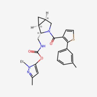 CCn1nc(C)cc1OC(=O)NC[C@@H]1[C@H]2C[C@H]2CN1C(=O)c1ccsc1-c1cccc(C)c1